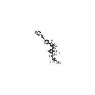 Cc1c(NC(=O)N2CC(O)(CC(C)(C)C)C2)cc(F)cc1-c1ncnc2[nH]c(-c3ccc(OCCCN4CCNCC4)nc3)cc12